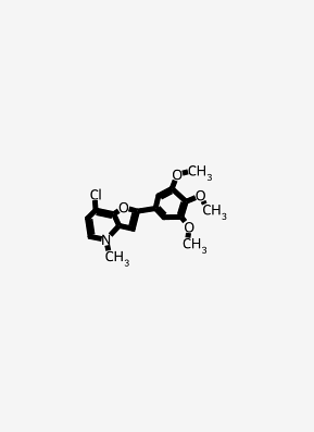 COc1cc(C2=CC3C(=C(Cl)C=CN3C)O2)cc(OC)c1OC